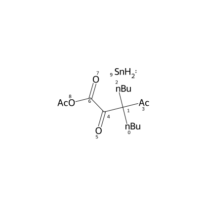 CCCCC(CCCC)(C(C)=O)C(=O)C(=O)OC(C)=O.[SnH2]